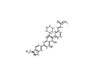 [2H]C(c1ccc(-c2ccc3c(cnn3C)c2)cc1F)N(C(=O)C1CCCCC1)c1cccc(/C=C/C(C)=O)c1